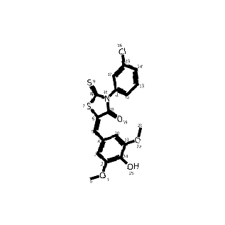 COc1cc(C=C2SC(=S)N(c3cccc(Cl)c3)C2=O)cc(OC)c1O